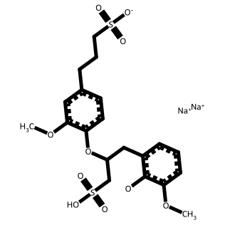 COc1cc(CCCS(=O)(=O)[O-])ccc1OC(Cc1cccc(OC)c1[O-])CS(=O)(=O)O.[Na+].[Na+]